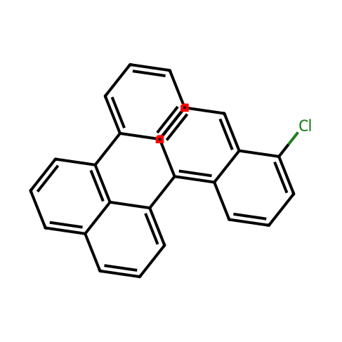 Clc1cccc2c(-c3cccc4cccc(-c5ccccc5)c34)cccc12